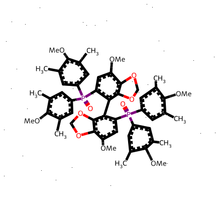 COc1cc(P(=O)(c2cc(C)c(OC)c(C)c2)c2cc(C)c(OC)c(C)c2)c(-c2c(P(=O)(c3cc(C)c(OC)c(C)c3)c3cc(C)c(OC)c(C)c3)cc(OC)c3c2OCO3)c2c1OCO2